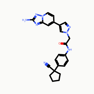 N#CC1(c2ccc(NC(=O)Cn3cc(-c4ccn5nc(N)nc5c4)cn3)cc2)CCCC1